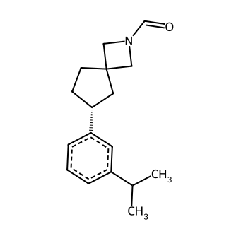 CC(C)c1cccc([C@@H]2CCC3(C2)CN(C=O)C3)c1